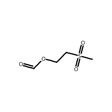 CS(=O)(=O)CCO[C]=O